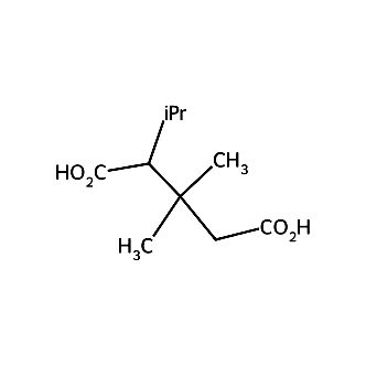 CC(C)C(C(=O)O)C(C)(C)CC(=O)O